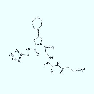 CC(C)C(NC(=O)CCC(=O)O)C(=O)NCC(=O)N1C[C@H](C2CCCCC2)C[C@H]1C(=O)NCc1nn[nH]n1